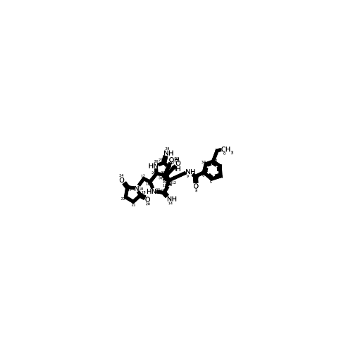 CCc1cccc(C(=O)NC2CN3C(=N)NC(CN4C(=O)CCC4=O)C4NC(=N)N[C@]43C2(O)O)c1